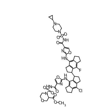 COC(=O)C1COCCN1S(=O)(=O)NC(=O)c1coc(Nc2c3c(c(Cl)c4c2C(C2CCc5c(Nc6nc(C(=O)NS(=O)(=O)N7CCN(C8CC8)CC7)co6)c6c(c(F)c52)CCC6)CC4)CCC3)n1